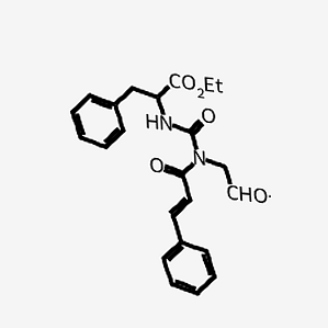 CCOC(=O)C(Cc1ccccc1)NC(=O)N(C[C]=O)C(=O)C=Cc1ccccc1